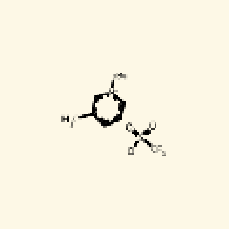 CCCC[n+]1cccc(C)c1.O=S(=O)([O-])C(F)(F)F